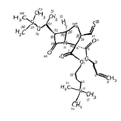 C=CCOC(=O)[C@@]1(C(=O)OCC[Si](C)(C)C)[C@H](C=S)S[C@@H]2[C@H](C(C)O[Si](C)(C)C)C(=O)N21